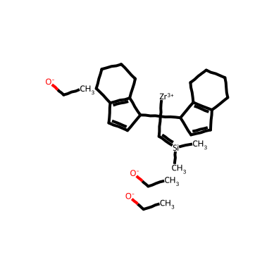 CC[O-].CC[O-].CC[O-].C[Si](C)=C[C]([Zr+3])(C1C=CC2=C1CCCC2)C1C=CC2=C1CCCC2